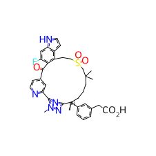 Cn1nc2nc1-c1cc(ccn1)C(=O)c1c(F)cc3[nH]ccc3c1CCS(=O)(=O)CC(C)(C)CCC[C@]2(C)c1cccc(CC(=O)O)c1